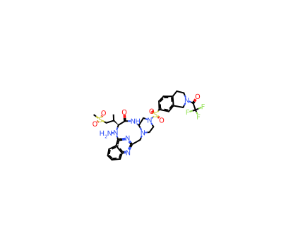 CC(CS(C)(=O)=O)[C@H]1C(=O)NC2CN(S(=O)(=O)c3ccc4c(c3)CN(C(=O)C(F)(F)F)CC4)CCN2Cc2nc(c3ccccc3n2)N1N